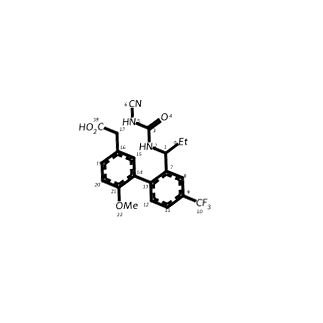 CCC(NC(=O)NC#N)c1cc(C(F)(F)F)ccc1-c1cc(CC(=O)O)ccc1OC